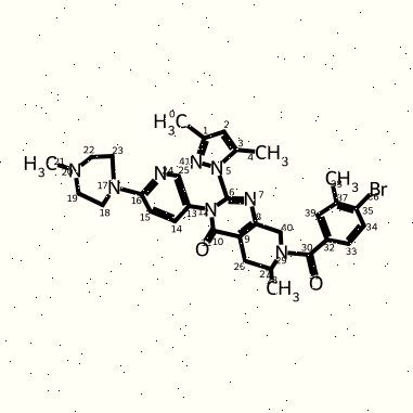 Cc1cc(C)n(-c2nc3c(c(=O)n2-c2ccc(N4CCN(C)CC4)nc2)CC(C)N(C(=O)c2ccc(Br)c(C)c2)C3)n1